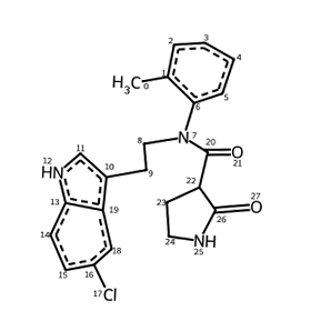 Cc1ccccc1N(CCc1c[nH]c2ccc(Cl)cc12)C(=O)C1CCNC1=O